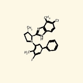 CC1=C(N2CC[C@H](C)[C@H]2c2nc3c(C)c(Cl)ccc3[nH]2)CC(c2ccccc2)[C]=C1F